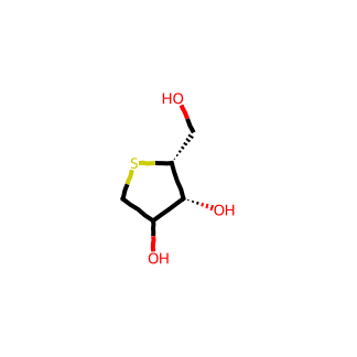 OC[C@H]1SCC(O)[C@H]1O